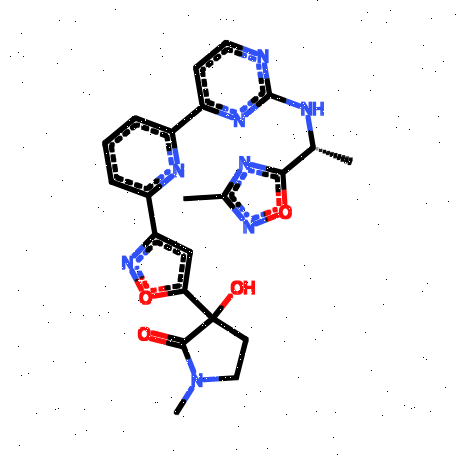 Cc1noc([C@@H](C)Nc2nccc(-c3cccc(-c4cc(C5(O)CCN(C)C5=O)on4)n3)n2)n1